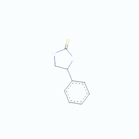 S=C1NCC(c2ccccc2)N1